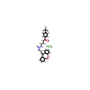 CN(CCC=C1c2ccccc2COc2ccccc21)CCCCC(=O)c1ccc(C(C)(C)C)cc1.Cl